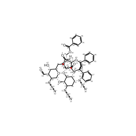 CC(=O)OCC1O[C@H](O[C@@H]2C(N=[N+]=[N-])C[C@@H](N=[N+]=[N-])[C@@H](OC(C)=O)C2O[C@@H]2O[C@H](COC(=O)c3ccccc3)C(OC(=O)c3ccccc3)[C@@H]2OC(=O)c2ccccc2)C(N=[N+]=[N-])[C@@H](C=O)[C@@H]1O